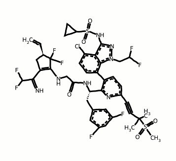 C=C[C@@H]1CC(C(=N)C(F)F)=C(NCC(=O)N[C@@H](Cc2cc(F)cc(F)c2)c2nc(C#CC(C)(C)S(C)(=O)=O)ccc2-c2ccc(Cl)c3c(NS(=O)(=O)C4CC4)nn(CC(F)F)c23)C1(F)F